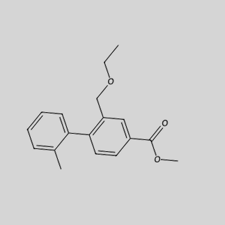 CCOCc1cc(C(=O)OC)ccc1-c1ccccc1C